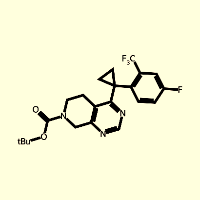 CC(C)(C)OC(=O)N1CCc2c(ncnc2C2(c3ccc(F)cc3C(F)(F)F)CC2)C1